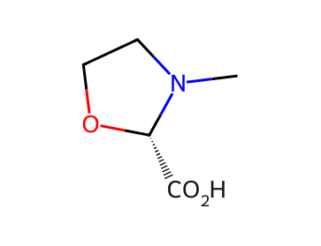 CN1CCO[C@H]1C(=O)O